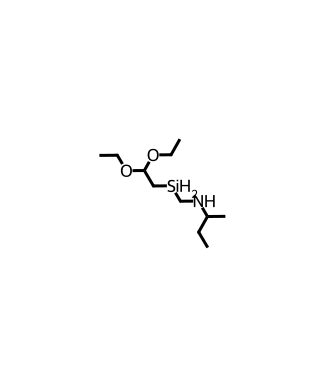 CCOC(C[SiH2]CNC(C)CC)OCC